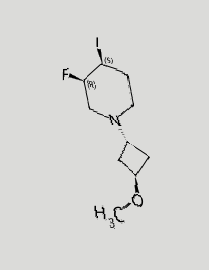 CO[C@H]1C[C@H](N2CC[C@H](I)[C@H](F)C2)C1